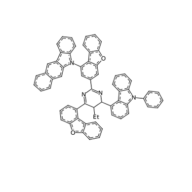 CCC1C(c2cccc3oc4ccccc4c23)=NC(c2cc(-n3c4ccccc4c4cc5ccccc5cc43)c3c(c2)oc2ccccc23)=NC1c1cccc2c1c1ccccc1n2-c1ccccc1